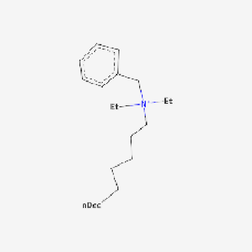 CCCCCCCCCCCCCCC[N+](CC)(CC)Cc1ccccc1